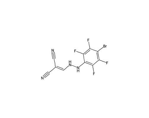 N#CC(C#N)=CNNc1c(F)c(F)c(Br)c(F)c1F